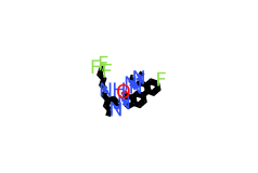 Cc1cc(CNCCCC(F)(F)F)cc(N2Cc3ccc(-c4ccc(F)cc4-c4nncn4C)cc3C2=O)n1